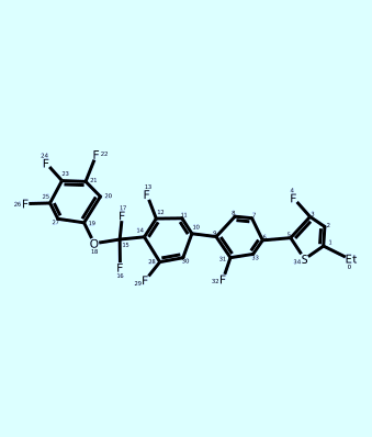 CCc1cc(F)c(-c2ccc(-c3cc(F)c(C(F)(F)Oc4cc(F)c(F)c(F)c4)c(F)c3)c(F)c2)s1